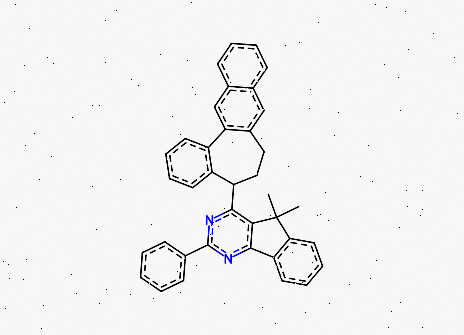 CC1(C)c2ccccc2-c2nc(-c3ccccc3)nc(C3CCc4cc5ccccc5cc4-c4ccccc43)c21